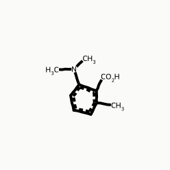 Cc1cccc(N(C)C)c1C(=O)O